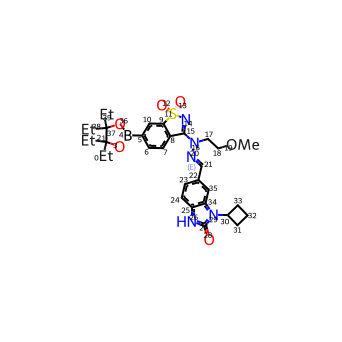 CCC1(CC)OB(c2ccc3c(c2)S(=O)(=O)N=C3N(CCOC)/N=C/c2ccc3[nH]c(=O)n(C4CCC4)c3c2)OC1(CC)CC